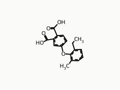 CCc1cccc(C)c1Oc1ccc(C(=O)O)c(C(=O)O)c1